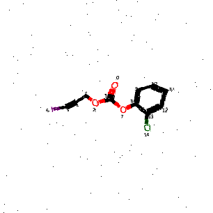 O=C(OCC#CI)Oc1ccccc1Cl